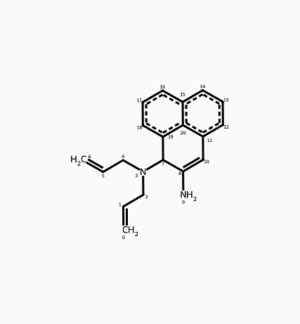 C=CCN(CC=C)C1C(N)=Cc2cccc3cccc1c23